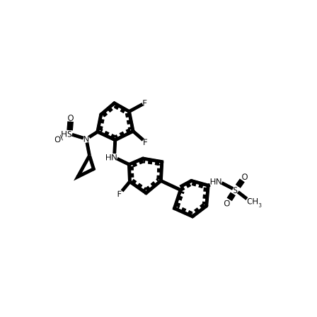 CS(=O)(=O)Nc1cccc(-c2ccc(Nc3c(N(C4CC4)[SH](=O)=O)ccc(F)c3F)c(F)c2)c1